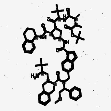 COCC(c1ccccc1)N(Cc1ccc2c(ccn2C(=O)N[C@H]2C[C@@H](C(=O)N[C@@H]3CCCc4ccccc43)N(C(=O)[C@@H](NC(=O)[C@H](C)N(C)C(=O)OC(C)(C)C)C(C)(C)C)C2)c1)C(=O)[C@@H]1Cc2ccccc2CN1C[C@@H](N)C(C)(C)C